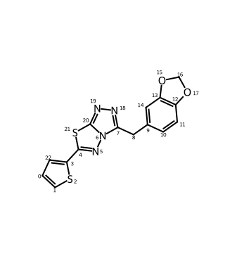 c1csc(-c2nn3c(Cc4ccc5c(c4)OCO5)nnc3s2)c1